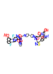 C#Cc1c(F)ccc2cc(O)cc(-c3ncc4c(N5CC6CCC(C5)N6C(=O)OC(C)(C)C)nc(OCCN5CCC(C6CCN(c7cc([C@H](C(=O)N8C[C@H](O)C[C@H]8C(=O)N[C@@H](C)c8ccc(-c9scnc9C)cc8)C(C)C)on7)CC6)CC5)nc4c3F)c12